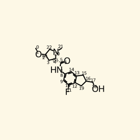 CO[C@@H]1C[C@@H](C(=O)Nc2cc(F)c3c(c2)CC(CO)C3)N(C)C1